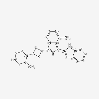 CC1CNCCN1[C@H]1C[C@@H](c2nc(-c3cc4ccccc4[nH]3)c3c(N)nccn32)C1